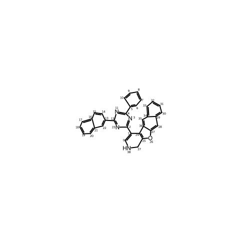 C1=C(c2nc(-c3ccccc3)nc(-c3ccc4ccccc4c3)n2)c2c(oc3cc4ccccc4cc23)CN1